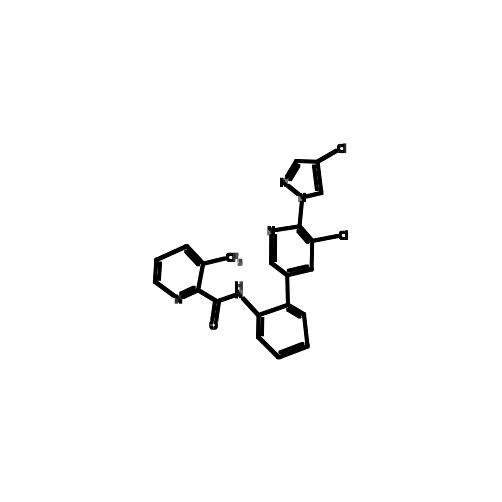 O=C(Nc1ccccc1-c1cnc(-n2cc(Cl)cn2)c(Cl)c1)c1ncccc1C(F)(F)F